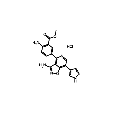 COC(=O)c1cc(-c2ncc(-c3cn[nH]c3)c3onc(N)c23)ccc1N.Cl